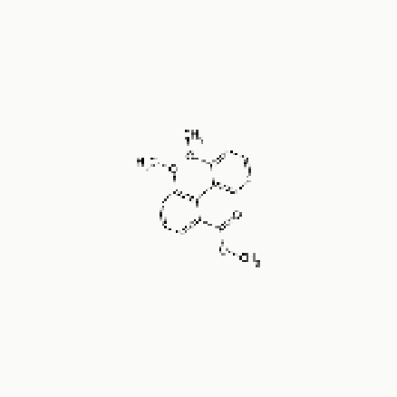 COC(=O)c1cccc(OC)c1-c1ccccc1OC